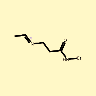 C/C=N/CCC(=O)NCC